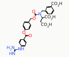 N=C(N)Nc1ccc(C(=O)Oc2ccc(COC(=O)N(Cc3cccc(C(=O)O)c3)C(CC(=O)O)C(=O)O)cc2)cc1